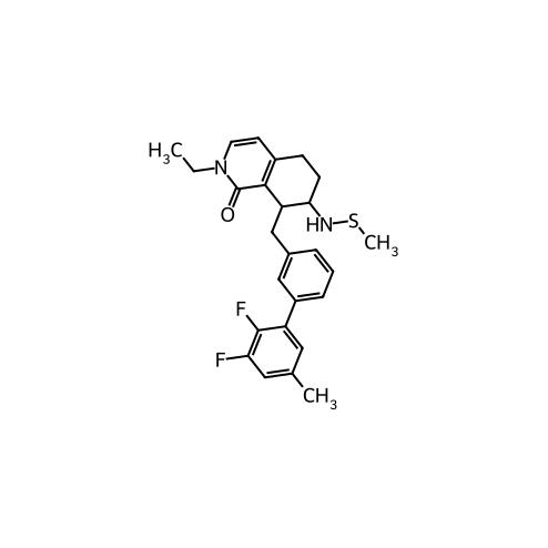 CCn1ccc2c(c1=O)C(Cc1cccc(-c3cc(C)cc(F)c3F)c1)C(NSC)CC2